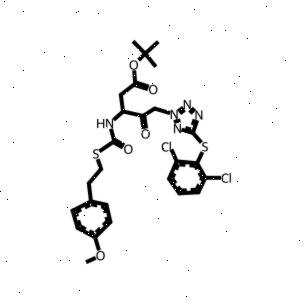 COc1ccc(CCSC(=O)NC(CC(=O)OC(C)(C)C)C(=O)Cn2nnc(Sc3c(Cl)cccc3Cl)n2)cc1